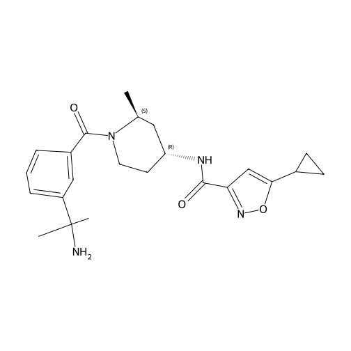 C[C@H]1C[C@H](NC(=O)c2cc(C3CC3)on2)CCN1C(=O)c1cccc(C(C)(C)N)c1